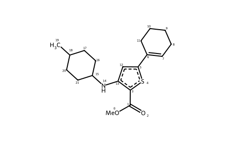 COC(=O)c1sc(C2=CCCCC2)cc1NC1CCC(C)CC1